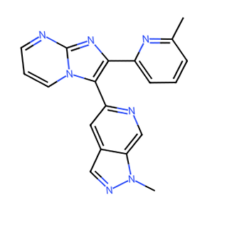 Cc1cccc(-c2nc3ncccn3c2-c2cc3cnn(C)c3cn2)n1